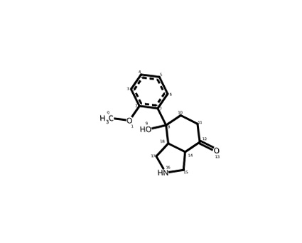 COc1ccccc1C1(O)CCC(=O)C2CNCC21